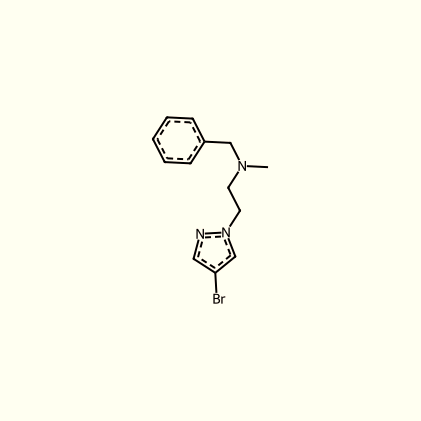 CN(CCn1cc(Br)cn1)Cc1ccccc1